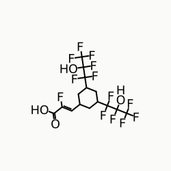 O=C(O)C(F)=CC1CC(C(F)(F)C(O)(F)C(F)(F)F)CC(C(F)(F)C(O)(F)C(F)(F)F)C1